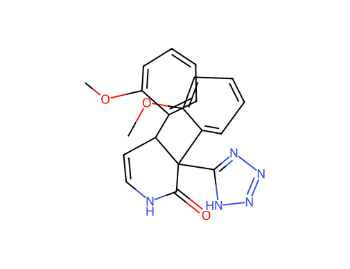 COc1ccccc1C1C=CNC(=O)C1(c1nnn[nH]1)c1ccccc1OC